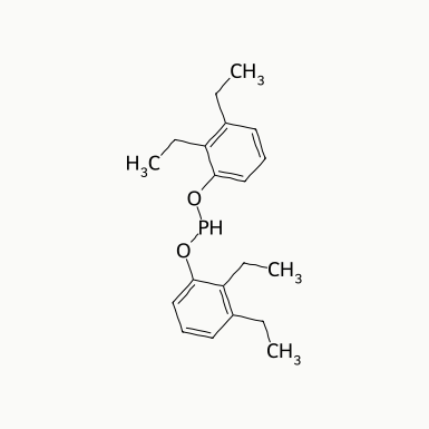 CCc1cccc(OPOc2cccc(CC)c2CC)c1CC